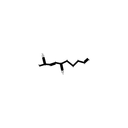 C=CCCCC(=O)C=CC(C)=O